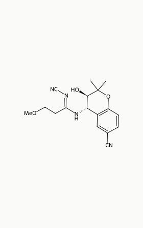 COCCC(=NC#N)N[C@H]1c2cc(C#N)ccc2OC(C)(C)[C@@H]1O